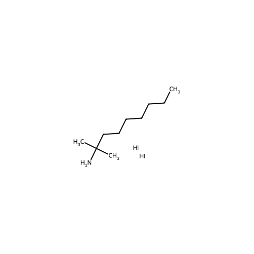 CCCCCCCC(C)(C)N.I.I